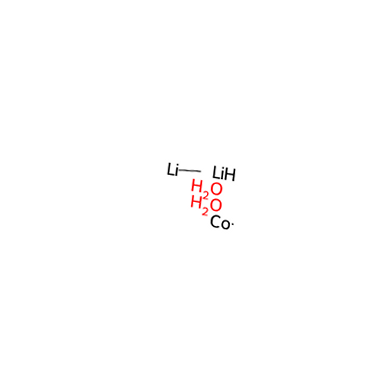 O.O.[Co].[LiH].[Li][CH3]